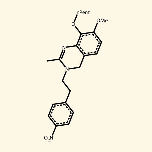 CCCCCOc1c(OC)ccc2c1N=C(C)N(CCc1ccc([N+](=O)[O-])cc1)C2